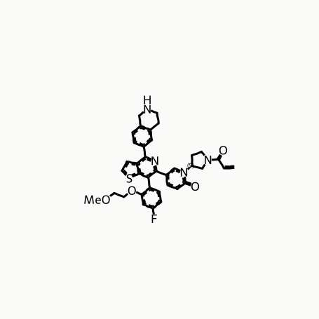 C=CC(=O)N1CC[C@H](n2cc(-c3nc(-c4ccc5c(c4)CCNC5)c4ccsc4c3-c3ccc(F)cc3OCCOC)ccc2=O)C1